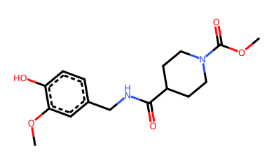 COC(=O)N1CCC(C(=O)NCc2ccc(O)c(OC)c2)CC1